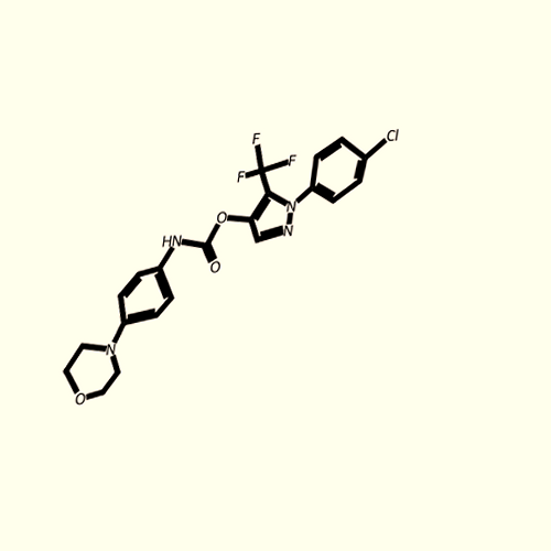 O=C(Nc1ccc(N2CCOCC2)cc1)Oc1cnn(-c2ccc(Cl)cc2)c1C(F)(F)F